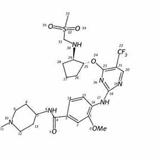 COc1cc(C(=O)NC2CCN(C)CC2)ccc1Nc1ncc(C(F)(F)F)c(O[C@@H]2CCC[C@H]2NCS(C)(=O)=O)n1